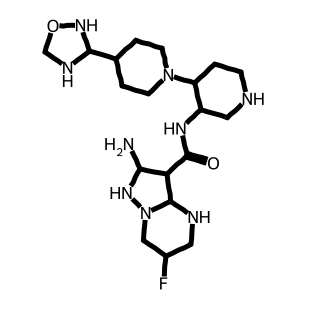 NC1NN2CC(F)CNC2C1C(=O)NC1CNCCC1N1CCC(C2NCON2)CC1